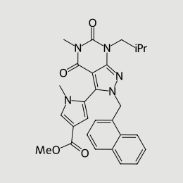 COC(=O)c1cc(-c2c3c(=O)n(C)c(=O)n(CC(C)C)c3nn2Cc2cccc3ccccc23)n(C)c1